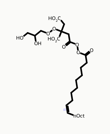 CCCCCCCC/C=C\CCCCCCCC(=O)OOC(=O)CC(CC(=O)O)(OOCC(O)CO)C(=O)O